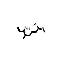 C=CC(=N)C(C)C/C=C/C(=N\C)C(C)C